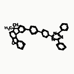 CC1(C)c2ccc(-c3ccc(-c4ccc(-c5nc(-c6ccccc6)nc(-c6ccccc6)n5)cc4)cc3)cc2-c2c1ccc1oc3ccccc3c21